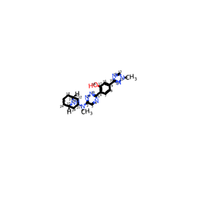 CN(c1cnc(-c2ccc(-c3ncn(C)n3)cc2O)nn1)[C@@H]1C[C@H]2CCC[C@@H](C1)N2